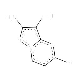 CC(C)c1ccn2nc(N)c(C(=O)O)c2n1